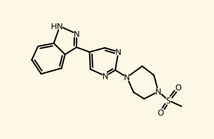 CS(=O)(=O)N1CCN(c2ncc(-c3n[nH]c4ccccc34)cn2)CC1